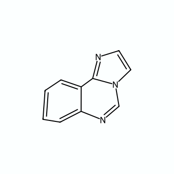 c1ccc2c(c1)ncn1ccnc21